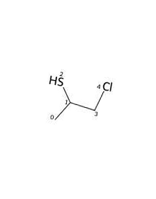 CC(S)CCl